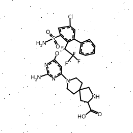 Nc1nc(O[C@H](c2c(-c3ccccc3)cc(Cl)cc2S(N)(=O)=O)C(F)(F)F)cc(N2CCC3(CC2)CNC(C(=O)O)C3)n1